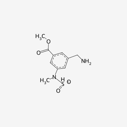 COC(=O)c1cc(CN)cc(N(C)[SH](=O)=O)c1